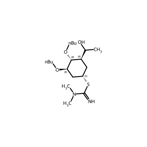 CCCCO[C@@H]1[C@@H](C(C)O)C[C@H](SC(=N)N(C)C)C[C@H]1OCCCC